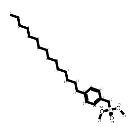 CCCCCCCCCCCCCCCc1ccc(CP(=O)(OC)OC)cc1